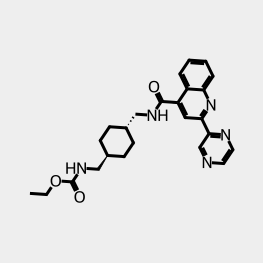 CCOC(=O)NC[C@H]1CC[C@H](CNC(=O)c2cc(-c3cnccn3)nc3ccccc23)CC1